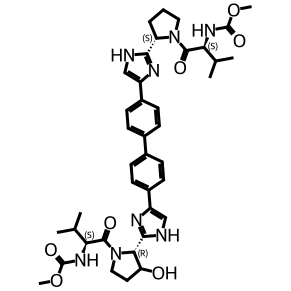 COC(=O)N[C@H](C(=O)N1CCC(O)[C@H]1c1nc(-c2ccc(-c3ccc(-c4c[nH]c([C@@H]5CCCN5C(=O)[C@@H](NC(=O)OC)C(C)C)n4)cc3)cc2)c[nH]1)C(C)C